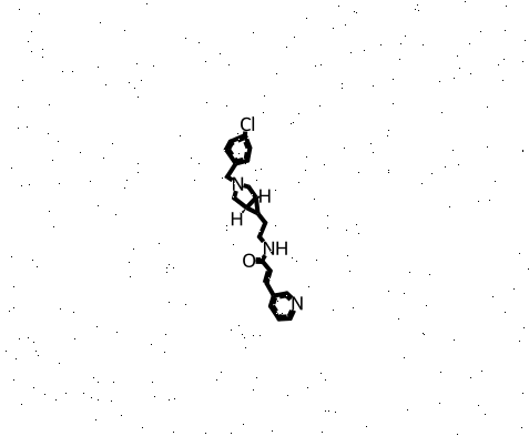 O=C(/C=C/c1cccnc1)NCCC1[C@H]2CN(Cc3ccc(Cl)cc3)C[C@@H]12